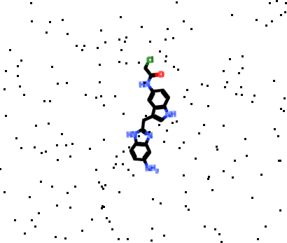 Nc1ccc2[nH]c(Cc3c[nH]c4ccc(NC(=O)CCl)cc34)nc2c1